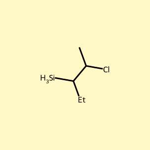 CCC([SiH3])C(C)Cl